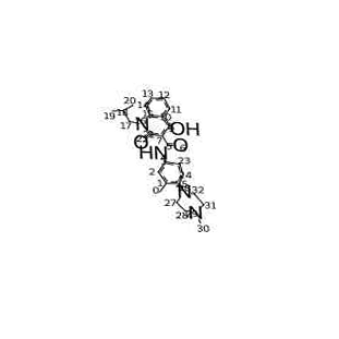 Cc1cc(NC(=O)c2c(O)c3ccccc3n(CC(C)C)c2=O)ccc1N1CCN(C)CC1